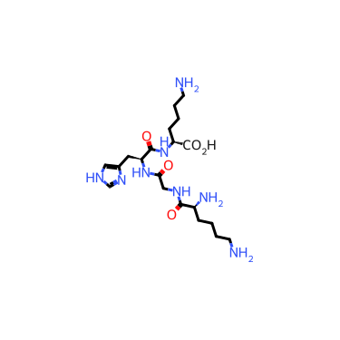 NCCCC[C@H](NC(=O)[C@H](Cc1c[nH]cn1)NC(=O)CNC(=O)[C@@H](N)CCCCN)C(=O)O